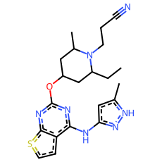 CCC1CC(Oc2nc(Nc3cc(C)[nH]n3)c3ccsc3n2)CC(C)N1CCC#N